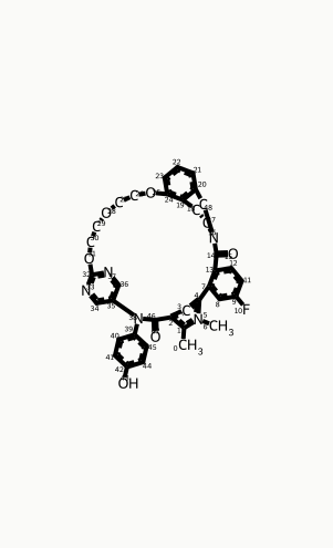 Cc1c2cc(n1C)-c1cc(F)ccc1C(=O)N1CCc3c(cccc3OCCOCCOc3ncc(cn3)N(c3ccc(O)cc3)C2=O)C1